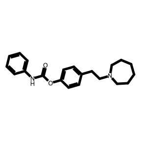 O=C(Nc1ccccc1)Oc1ccc(CCN2CCCCCC2)cc1